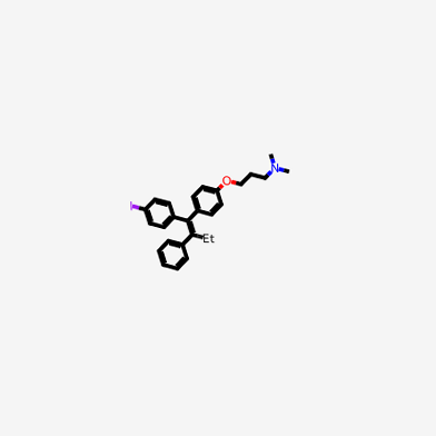 CCC(=C(c1ccc(I)cc1)c1ccc(OCCCN(C)C)cc1)c1ccccc1